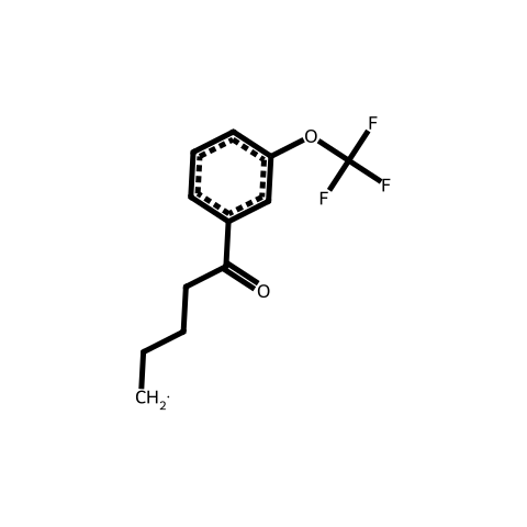 [CH2]CCCC(=O)c1cccc(OC(F)(F)F)c1